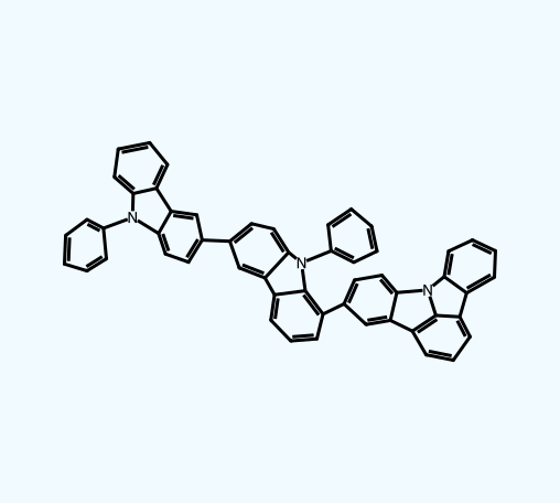 c1ccc(-n2c3ccccc3c3cc(-c4ccc5c(c4)c4cccc(-c6ccc7c(c6)c6cccc8c9ccccc9n7c86)c4n5-c4ccccc4)ccc32)cc1